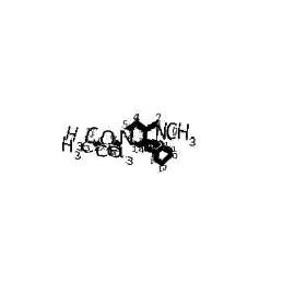 CN1CC2CCN(C(=O)OC(C)(C)C)CC2(Cc2ccccc2)C1=O